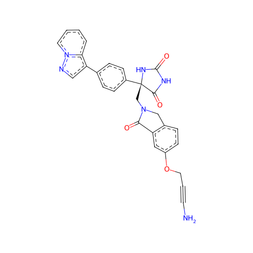 NC#CCOc1ccc2c(c1)C(=O)N(C[C@@]1(c3ccc(-c4cnn5ccccc45)cc3)NC(=O)NC1=O)C2